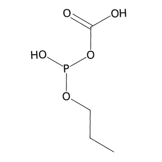 CCCOP(O)OC(=O)O